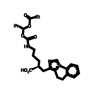 CCC(=O)OC(OC(=O)NCCC[C@@H](Cc1ncn2c1CCc1ccccc1-2)C(=O)O)C(C)C